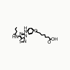 CCCC(C)Nc1nc(Nc2ccc(OCCCCCCC(=O)O)cc2)nc2ncsc12